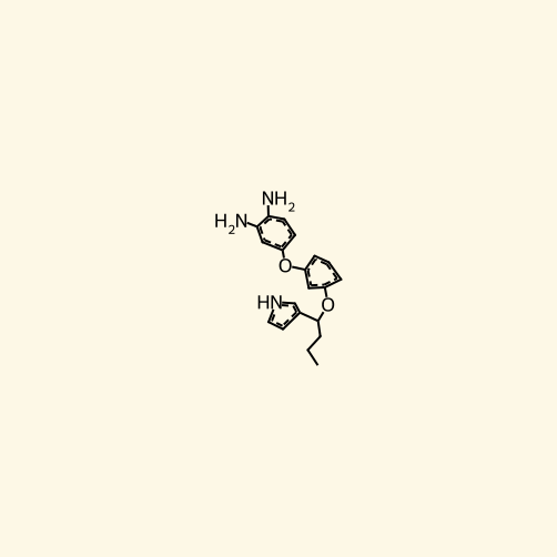 CCCC(Oc1cccc(Oc2ccc(N)c(N)c2)c1)c1cc[nH]c1